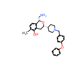 Cc1ccc2c(c1O)C[C@@H](C1CCN(Cc3ccc(Oc4ccccc4)cc3)CC1)O[C@H]2CN